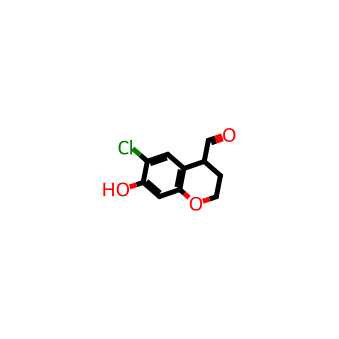 O=CC1CCOc2cc(O)c(Cl)cc21